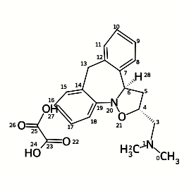 CN(C)C[C@H]1C[C@@H]2c3ccccc3Cc3ccccc3N2O1.O=C(O)C(=O)O